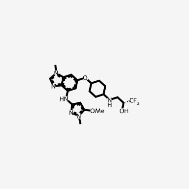 COc1cc(Nc2cc(OC3CCC(NC[C@@H](O)C(F)(F)F)CC3)cc3c2ncn3C)nn1C